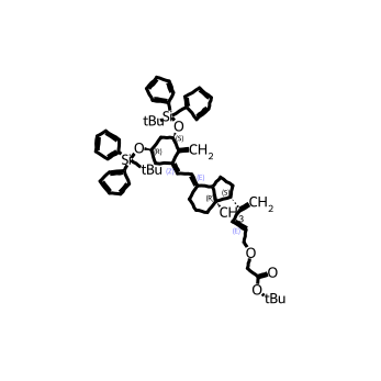 C=C1/C(=C\C=C2/CCC[C@@]3(C)C2CC[C@@H]3C(=C)/C=C/COCC(=O)OC(C)(C)C)C[C@@H](O[Si](c2ccccc2)(c2ccccc2)C(C)(C)C)C[C@@H]1O[Si](c1ccccc1)(c1ccccc1)C(C)(C)C